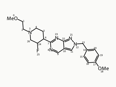 COCCN1CCC(c2ncc3cn(Cc4ccc(OC)cc4)nc3n2)C(F)C1